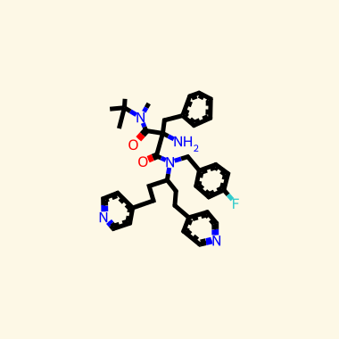 CN(C(=O)C(N)(Cc1ccccc1)C(=O)N(Cc1ccc(F)cc1)C(CCc1ccncc1)CCc1ccncc1)C(C)(C)C